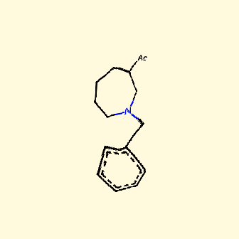 CC(=O)C1CCCCN(Cc2ccccc2)C1